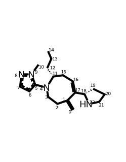 C=C1CCN(c2ccnn2C)[C@H](CCC)C/C=C\1[C@@H]1CCCN1